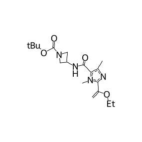 C=C(OCC)c1nc(C)c(C(=O)NC2CN(C(=O)OC(C)(C)C)C2)n1C